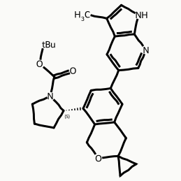 Cc1c[nH]c2ncc(-c3cc4c(c([C@@H]5CCCN5C(=O)OC(C)(C)C)c3)COC3(CC3)C4)cc12